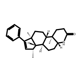 C[C@@H]1C=C(c2ccccc2)[C@@]2(C)CC[C@H]3[C@@H](CC[C@H]4NC(=O)CC[C@@]43C)[C@H]12